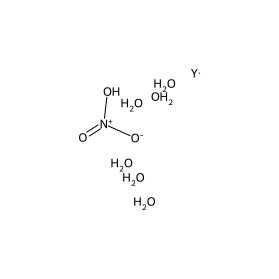 O.O.O.O.O.O.O=[N+]([O-])O.[Y]